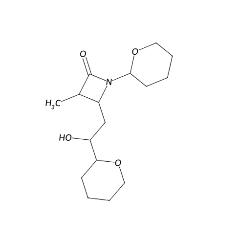 CC1C(=O)N(C2CCCCO2)C1CC(O)C1CCCCO1